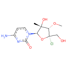 CO[C@H]1[C@@](C)(O)[C@H](n2ccc(N)nc2=O)O[C@]1(Cl)CO